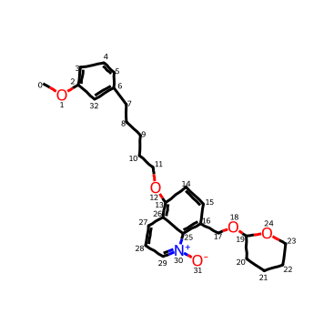 COc1cccc(CCCCCOc2ccc(COC3CCCCO3)c3c2ccc[n+]3[O-])c1